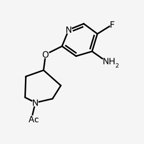 CC(=O)N1CCC(Oc2cc(N)c(F)cn2)CC1